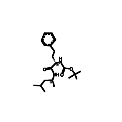 CC(C)C[C@H](C)NC(=O)[C@H](CCc1ccccc1)NC(=O)OC(C)(C)C